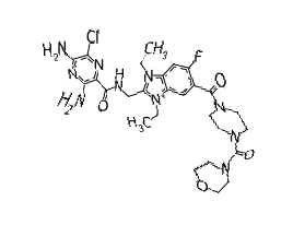 CCn1c(CNC(=O)c2nc(Cl)c(N)nc2N)[n+](CC)c2cc(C(=O)N3CCN(C(=O)N4CCOCC4)CC3)c(F)cc21